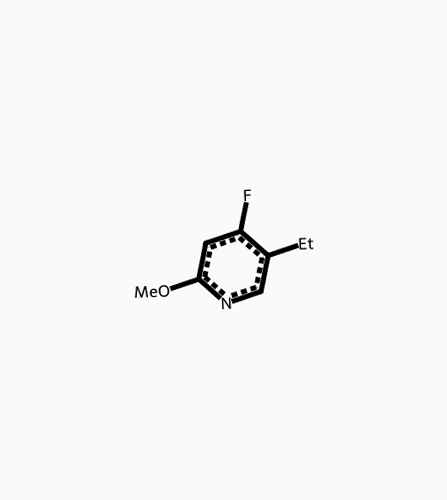 CCc1cnc(OC)cc1F